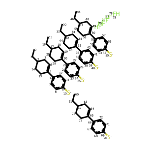 CCC1CC=C(c2ccc([S])cc2)CC1.CCC1CC=C(c2ccc([S])cc2)CC1.CCC1CC=C(c2ccc([S])cc2)CC1.CCC1CC=C(c2ccc([S])cc2)CC1.CCC1CC=C(c2ccc([S])cc2)CC1.F.F.F.F.F